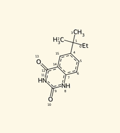 CCC(C)(C)c1ccc2[nH]c(=O)[nH]c(=O)c2c1